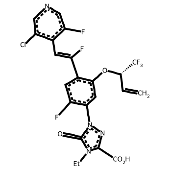 C=C[C@H](Oc1cc(-n2nc(C(=O)O)n(CC)c2=O)c(F)cc1/C(F)=C/c1c(F)cncc1Cl)C(F)(F)F